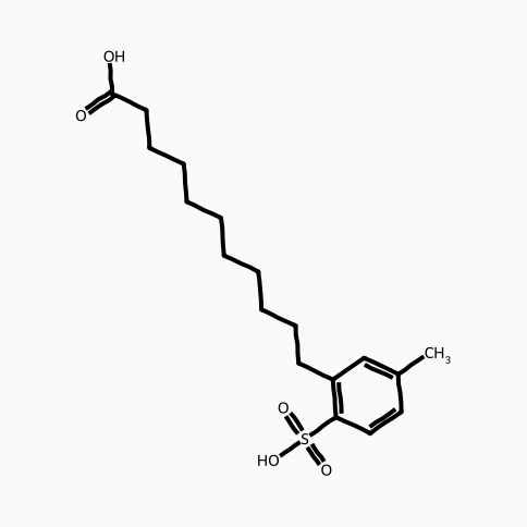 Cc1ccc(S(=O)(=O)O)c(CCCCCCCCCCC(=O)O)c1